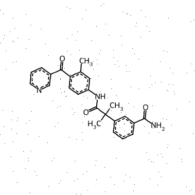 Cc1cc(NC(=O)C(C)(C)c2cccc(C(N)=O)c2)ccc1C(=O)c1cccnc1